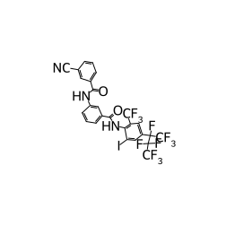 N#Cc1cccc(C(=O)Nc2cccc(C(=O)Nc3c(I)cc(C(F)(C(F)(F)F)C(F)(F)C(F)(F)F)cc3C(F)(F)F)c2)c1